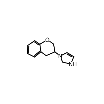 C1=CN(C2COc3ccccc3C2)CN1